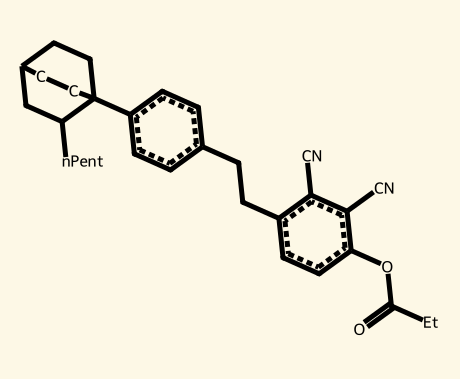 CCCCCC1CC2CCC1(c1ccc(CCc3ccc(OC(=O)CC)c(C#N)c3C#N)cc1)CC2